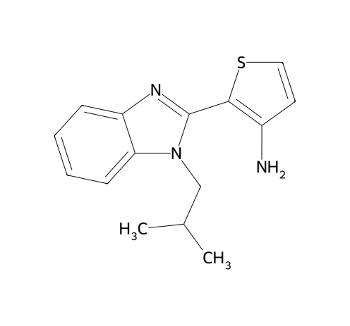 CC(C)Cn1c(-c2sccc2N)nc2ccccc21